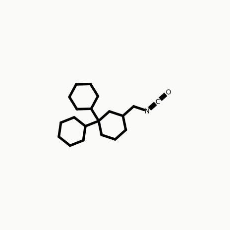 O=C=NCC1CCCC(C2CCCCC2)(C2CCCCC2)C1